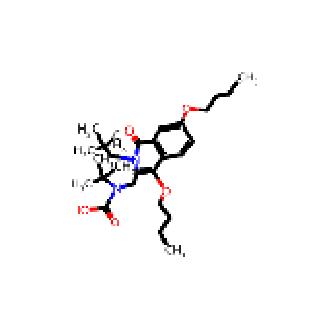 CCCCOc1ccc2c(OCCCC)c(CN(C(=O)O)C(C)(C)C)n(CC(C)(C)C)c(=O)c2c1